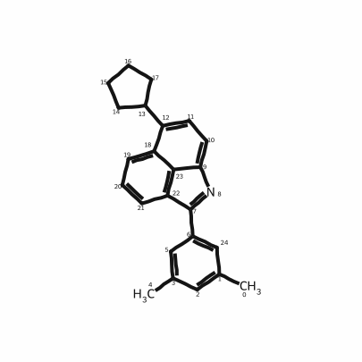 Cc1cc(C)cc(C2=Nc3ccc(C4CCCC4)c4cccc2c34)c1